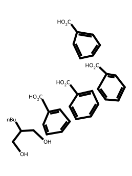 CCCCC(CO)CO.O=C(O)c1ccccc1.O=C(O)c1ccccc1.O=C(O)c1ccccc1.O=C(O)c1ccccc1